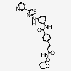 O=C(/C=C/c1ccc(C(=O)Nc2cccc(Nc3nc(-c4cccnc4)cs3)c2)cc1)NOC1CCCCO1